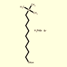 Br.CCCCCCCCCCCCCCCCCC[N+](C)(C)C.P.[Br-]